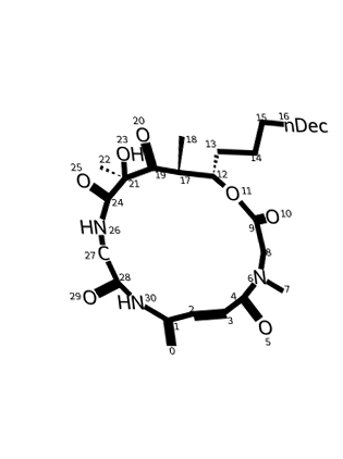 C=C1/C=C/C(=O)N(C)CC(=O)O[C@@H](CCCCCCCCCCCCC)[C@H](C)C(=O)[C@](C)(O)C(=O)NCC(=O)N1